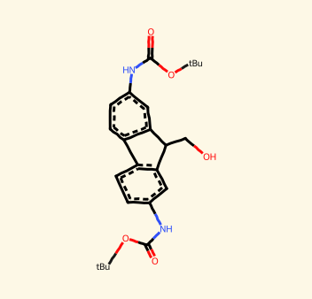 CC(C)(C)OC(=O)Nc1ccc2c(c1)C(CO)c1cc(NC(=O)OC(C)(C)C)ccc1-2